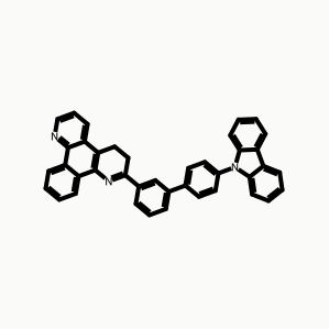 c1cc(C2=Nc3c(c4cccnc4c4ccccc34)CC2)cc(-c2ccc(-n3c4ccccc4c4ccccc43)cc2)c1